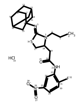 CCCN1C(=NC23CC4CC(CC(C4)C2)C3)SCC1CC(=O)Nc1cc([N+](=O)[O-])ccc1F.Cl